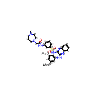 COc1cc(Nc2nc3ccccc3nc2NS(=O)(=O)c2cccc(NC(=O)CN3CCCN(C)CC3)c2)cc(OC)c1